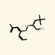 C=C(C)/C=C(\C=C/C)CNC(CO)CC(C)(C)C